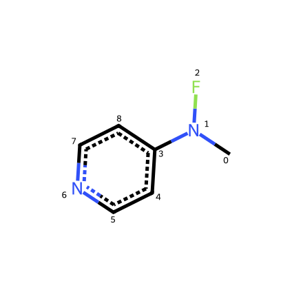 CN(F)c1ccncc1